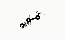 NC(=O)c1cccc(C#Cc2c(F)ccc(NS(=O)(=O)c3cccnc3)c2F)c1